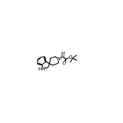 CC(C)(C)OC(=O)NN1CCC2(CC1)CNc1ccccc12